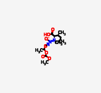 CC[C@@H](C)[C@@H](C(=O)O)N(C)[N+]([O-])=NOC(C)OC(=O)OC